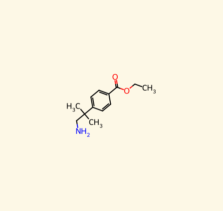 CCOC(=O)c1ccc(C(C)(C)CN)cc1